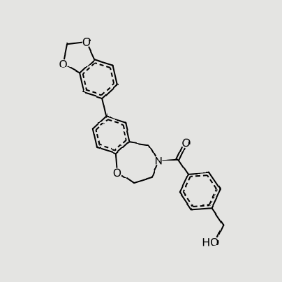 O=C(c1ccc(CO)cc1)N1CCOc2ccc(-c3ccc4c(c3)OCO4)cc2C1